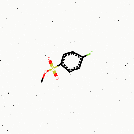 COS(=O)(=O)c1ccc(F)cc1